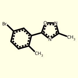 Cc1noc(-c2cc(Br)ccc2C)n1